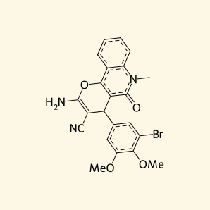 COc1cc(C2C(C#N)=C(N)Oc3c2c(=O)n(C)c2ccccc32)cc(Br)c1OC